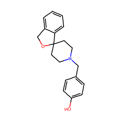 Oc1ccc(CN2CCC3(CC2)OCc2ccccc23)cc1